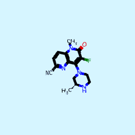 C[C@@H]1CN(c2c(F)c(=O)n(C)c3ccc(C#N)nc23)CCN1